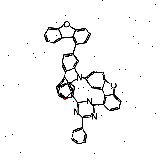 c1ccc(-c2nc(-c3ccccc3)nc(-c3cccc4oc5ccc(-n6c7ccccc7c7ccc(-c8cccc9oc%10ccccc%10c89)cc76)cc5c34)n2)cc1